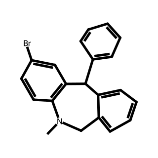 CN1Cc2ccccc2C(c2ccccc2)c2cc(Br)ccc21